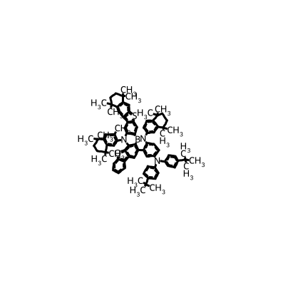 Cc1cc2c(cc1N1c3cc4c(cc3B3c5c(cc6c(oc7ccccc76)c51)-c1cc(N(c5ccc(C(C)(C)C)cc5)c5ccc(C(C)(C)C)cc5)ccc1N3c1ccc3c(c1)C(C)(C)CCC3(C)C)sc1cc3c(cc14)C(C)(C)CCC3(C)C)C(C)(C)CCC2(C)C